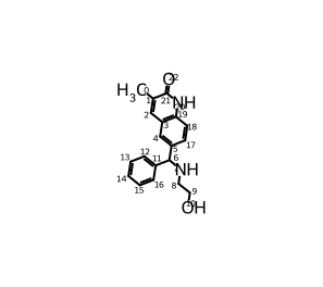 Cc1cc2cc(C(NCCO)c3ccccc3)ccc2[nH]c1=O